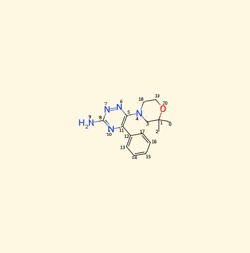 CC1(C)CN(c2nnc(N)nc2-c2ccccc2)CCO1